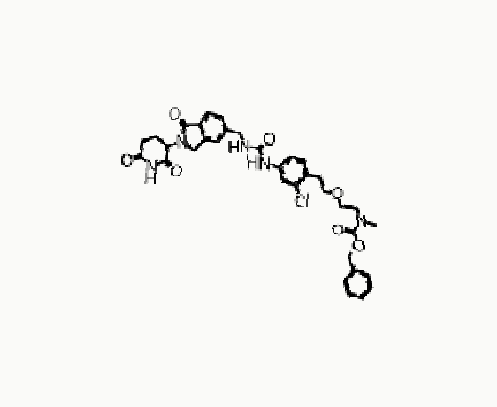 CN(CCOCCc1ccc(NC(=O)NCc2ccc3c(c2)CN(C2CCC(=O)NC2=O)C3=O)cc1Cl)C(=O)OCc1ccccc1